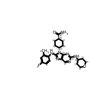 Cc1cc(F)ccc1Nc1nc2cnc(NC3CCOCC3)nc2n1[C@H]1CC[C@H](C(N)=O)CC1